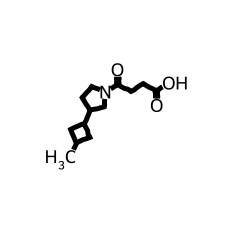 CC1CC(C2CCN(C(=O)CCC(=O)O)C2)C1